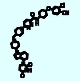 N#Cc1ccc(OC2CCC(NC(=O)c3ccc(N4CCC(CN5CCC(n6ccc7c(-n8ccc(=O)[nH]c8=O)cccc76)CC5)CC4)nn3)CC2)cc1Cl